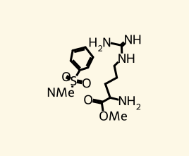 CNS(=O)(=O)c1ccccc1.COC(=O)C(N)CCCNC(=N)N